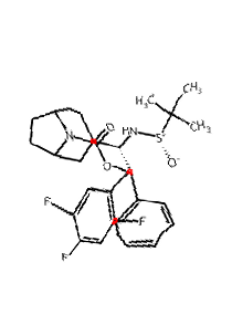 CC(C)(C)[S@+]([O-])N[C@H](Cc1cc(F)c(F)cc1F)C1CC2CCC(C1)N2C(=O)OCc1ccccc1